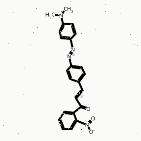 CN(C)c1ccc(/N=N/c2ccc(/C=C/C(=O)c3ccccc3[N+](=O)[O-])cc2)cc1